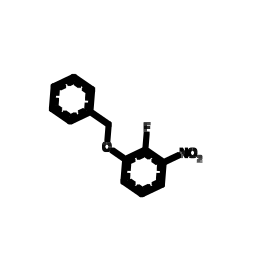 O=[N+]([O-])c1cccc(OCc2ccccc2)c1F